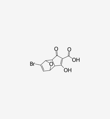 O=C(O)C1=C(O)C2C3C=C(Br)C(O3)C2C1=O